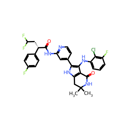 CC1(C)Cc2[nH]c(-c3ccnc(NC(=O)[C@@H](CC(F)F)c4ccc(F)cc4)c3)c(Nc3cccc(F)c3Cl)c2C(=O)N1